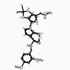 COc1ccc(CNc2ncnc3c2ccn3-c2oc(CNC(C)C)c3c2OC(C)(C)O3)c(OC)c1